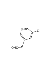 O=COc1cncc(Cl)c1